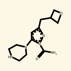 NC(=O)n1nc(CC2COC2)[c]c1N1CCNCC1